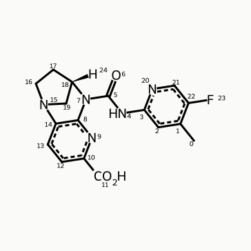 Cc1cc(NC(=O)N2c3nc(C(=O)O)ccc3N3CC[C@H]2C3)ncc1F